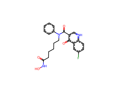 O=C(CCCCCN(C(=O)c1c[nH]c2ccc(F)cc2c1=O)c1ccccc1)NO